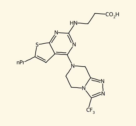 CCCc1cc2c(N3CCn4c(nnc4C(F)(F)F)C3)nc(NCCC(=O)O)nc2s1